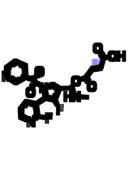 CNC(OC(=O)/C=C/C(=O)O)c1cn(S(=O)(=O)c2cccnc2)c(-c2cccnc2F)c1F